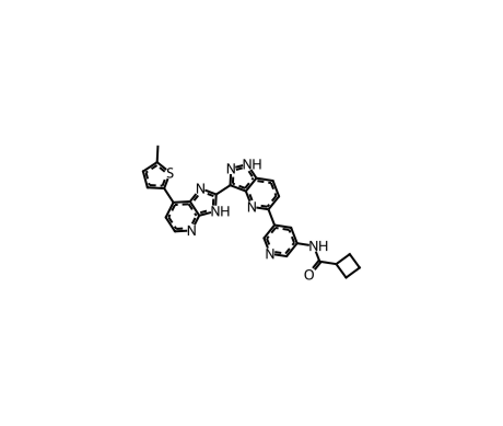 Cc1ccc(-c2ccnc3[nH]c(-c4n[nH]c5ccc(-c6cncc(NC(=O)C7CCC7)c6)nc45)nc23)s1